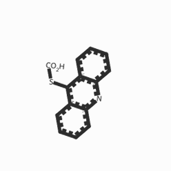 O=C(O)Sc1c2ccccc2nc2ccccc12